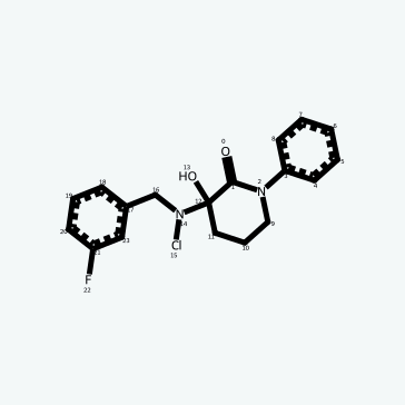 O=C1N(c2ccccc2)CCCC1(O)N(Cl)Cc1cccc(F)c1